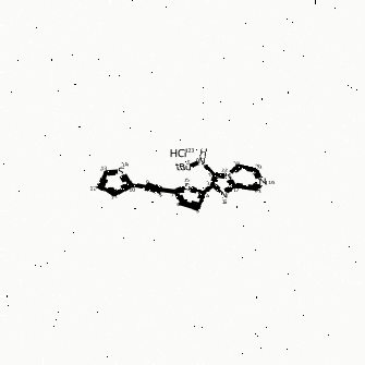 CC(C)(C)Nc1c(-c2ccc(C#Cc3cccs3)s2)nc2cnccn12.Cl